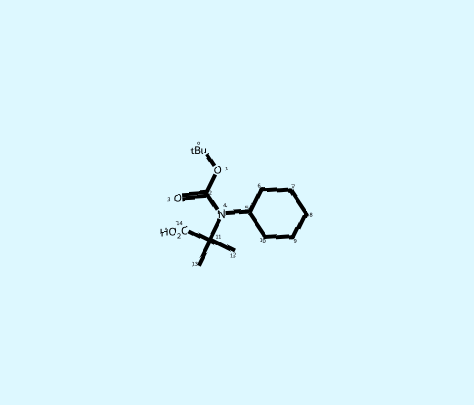 CC(C)(C)OC(=O)N(C1CCCCC1)C(C)(C)C(=O)O